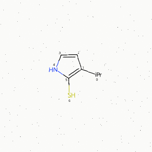 CC(C)c1cc[nH]c1S